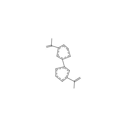 C=C(C)c1cccc(-c2cccc(C(=C)C)c2)c1